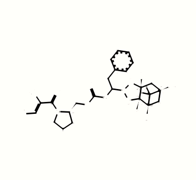 CC(C)C=C(C#N)C(=O)N1CCC[C@@H]1COC(=O)NC(Cc1ccccc1)B1O[C@@H]2C[C@@H]3C[C@@H](C3(C)C)[C@]2(C)O1